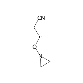 N#CC[CH]ON1CC1